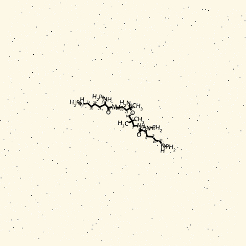 CC(C)(CNC(=O)C(CCCCNP)NP)COC(C)(N)CCCNC(=O)C(CCCCNP)NP